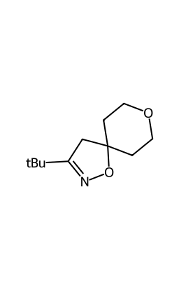 CC(C)(C)C1=NOC2(CCOCC2)C1